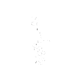 Cc1cc2cccc(-c3c4ccccc4c(-c4cccc5c4oc4c5ccc5c4oc4cccc(-c6ccc(-c7cc(C(C)(C)C)cc8c7oc7c8ccc8c9cc(-c%10c%11ccccc%11c(-c%11coc%12ccccc%11%12)c%11ccccc%10%11)ccc9oc87)cc6)c45)c4ccccc34)c2o1